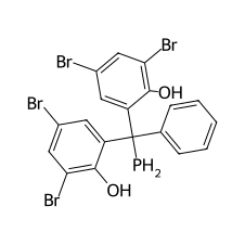 Oc1c(Br)cc(Br)cc1C(P)(c1ccccc1)c1cc(Br)cc(Br)c1O